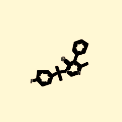 Cc1ncn(C(C)(C)c2ccc(F)cc2)c(=O)c1-c1ccccc1